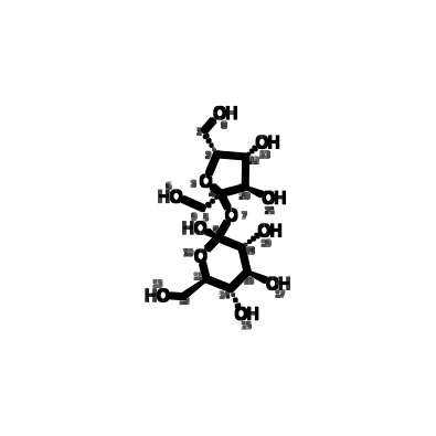 OC[C@H]1O[C@](CO)(O[C@@]2(O)O[C@H](CO)[C@@H](O)[C@H](O)[C@H]2O)[C@H](O)[C@H]1O